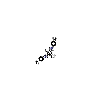 CCc1n(/N=C/c2ccc(N(C)C)cc2)c(C)c[n+]1/N=C/c1ccc(N(C)C)cc1.[Cl-]